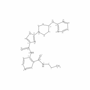 CCCNC(=O)c1cnccc1NC(=O)c1coc(N2CCC(Oc3ncccn3)CC2)n1